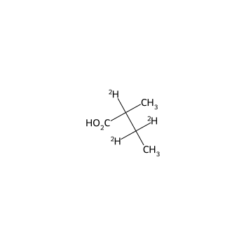 [2H]C([2H])(C)C([2H])(C)C(=O)O